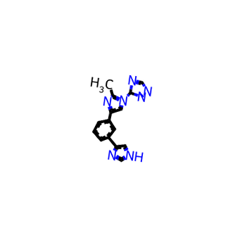 Cc1nc(-c2cccc(-c3c[nH]cn3)c2)cn1C1N=CN=N1